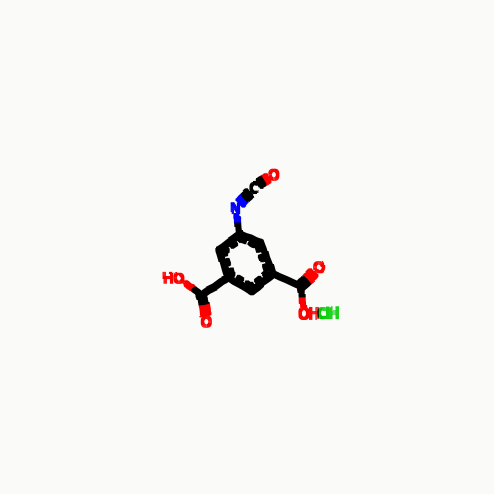 Cl.O=C=Nc1cc(C(=O)O)cc(C(=O)O)c1